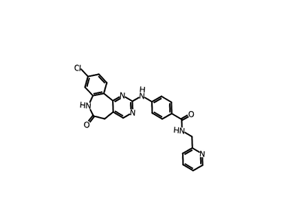 O=C1Cc2cnc(Nc3ccc(C(=O)NCc4ccccn4)cc3)nc2-c2ccc(Cl)cc2N1